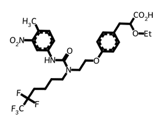 CCOC(Cc1ccc(OCCN(CCCCC(F)(F)C(F)(F)F)C(=O)Nc2ccc(C)c([N+](=O)[O-])c2)cc1)C(=O)O